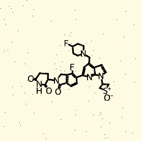 O=C1CCC(N2Cc3c(ccc(-c4cc(CN5CCC(F)CC5)c5ccn(C6C[S+]([O-])C6)c5n4)c3F)C2=O)C(=O)N1